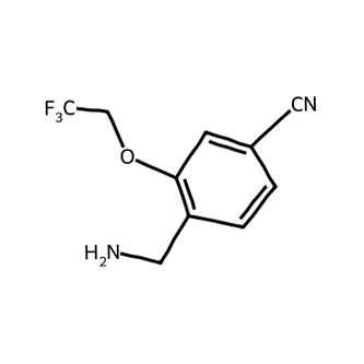 N#Cc1ccc(CN)c(OCC(F)(F)F)c1